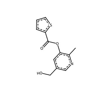 Cc1ncc(CO)cc1OC(=O)c1cccs1